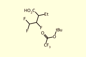 CC(C)(C)OC(=O)C(F)(F)F.CCC(C(=O)O)C(F)C(F)F